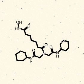 O=C(CCCCCC(=O)N(CC(=O)NC1CCCCC1)CC(=O)NC1CCCCC1)NO